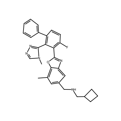 Cc1cc(CNCC2CCC2)cc2nc(-c3c(F)ccc(-c4ccccc4)c3-c3nncn3C)oc12